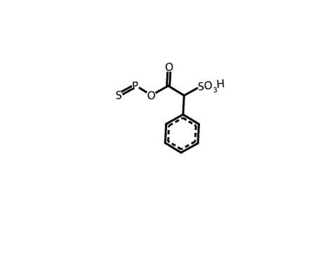 O=C(OP=S)C(c1ccccc1)S(=O)(=O)O